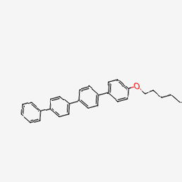 CCCCCOc1ccc(-c2ccc(-c3ccc(-c4ccccc4)cc3)cc2)cc1